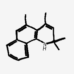 CC1=CC(C)(C)Nc2c1c(C)cc1ccccc21